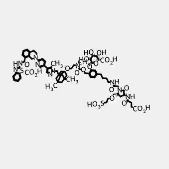 Cc1c(-c2ccc(N3CCc4cccc(C(=O)Nc5nc6ccccc6s5)c4C3)nc2C(=O)O)cnn1CC12CC3(C)CC(C)(C1)CC(OCCN(C)C(=O)OCc1ccc(CCCCNC(=O)CN4C(=O)[C@@H](NC(=O)CCC(=O)O)C[C@H]4COCCS(=O)(=O)O)cc1O[C@@H]1O[C@H](C(=O)O)[C@@H](O)[C@H](O)[C@H]1O)(C3)C2